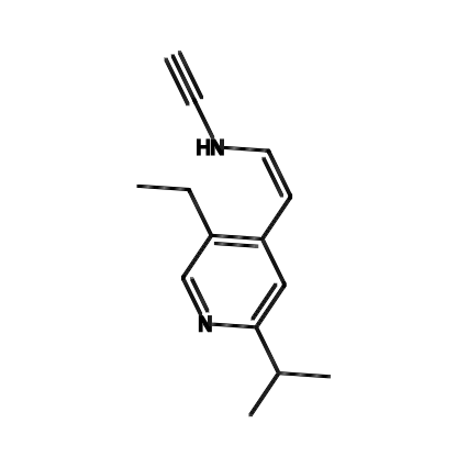 C#CN/C=C\c1cc(C(C)C)ncc1CC